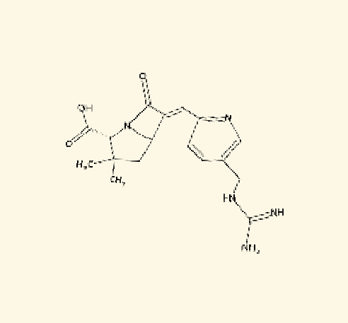 CC1(C)CC2/C(=C\c3ccc(CNC(=N)N)cn3)C(=O)N2[C@H]1C(=O)O